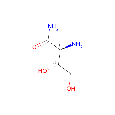 NC(=O)[C@@H](N)[C@@H](O)CO